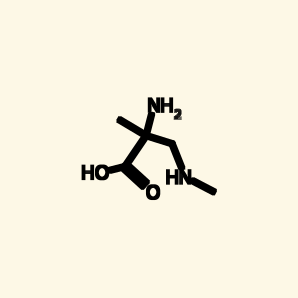 CNCC(C)(N)C(=O)O